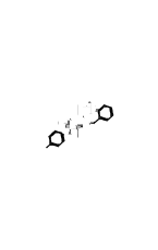 COc1ccccc1CNC(=O)NS(=O)(=O)c1ccc(C)cc1